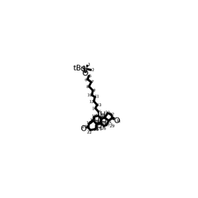 CC(C)(C)[Si](C)(C)OCCCCCCCCCCC[C@@H]1CC2=CC(=O)CC[C@@H]2[C@H]2CC[C@]3(C)C(=O)CC[C@H]3[C@H]12